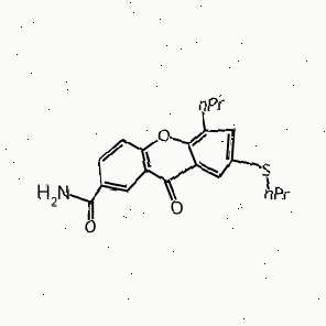 CCCSc1cc(CCC)c2oc3ccc(C(N)=O)cc3c(=O)c2c1